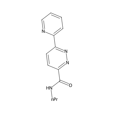 CCCNC(=O)c1ccc(-c2ccccn2)nn1